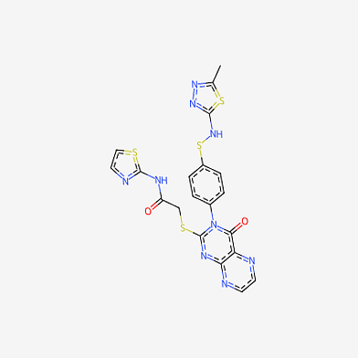 Cc1nnc(NSc2ccc(-n3c(SCC(=O)Nc4nccs4)nc4nccnc4c3=O)cc2)s1